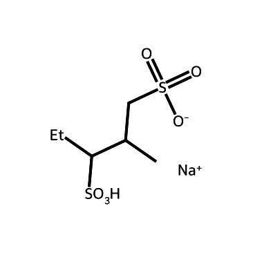 CCC(C(C)CS(=O)(=O)[O-])S(=O)(=O)O.[Na+]